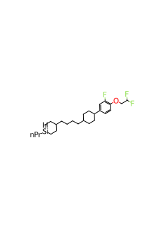 CCC[SiH]1CCC(CCCCC2CCC(c3ccc(OCC(F)F)c(F)c3)CC2)CC1